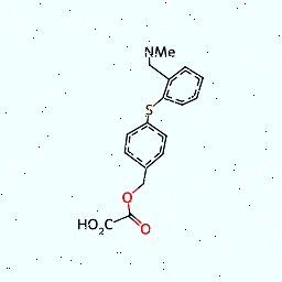 CNCc1ccccc1Sc1ccc(COC(=O)C(=O)O)cc1